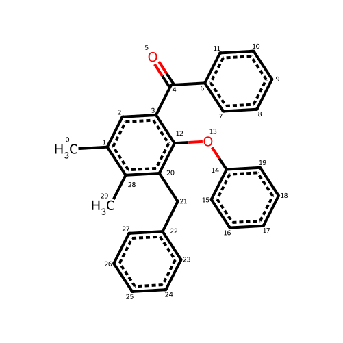 Cc1cc(C(=O)c2ccccc2)c(Oc2ccccc2)c(Cc2ccccc2)c1C